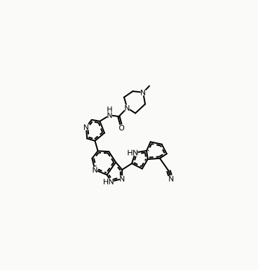 CN1CCN(C(=O)Nc2cncc(-c3cnc4[nH]nc(-c5cc6c(C#N)cccc6[nH]5)c4c3)c2)CC1